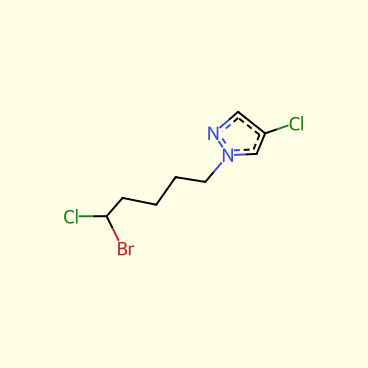 Clc1cnn(CCCCC(Cl)Br)c1